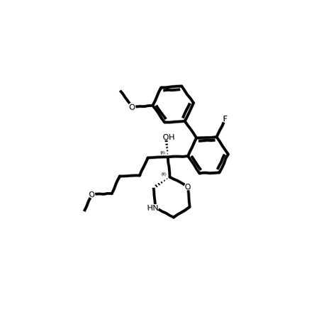 COCCCC[C@@](O)(c1cccc(F)c1-c1cccc(OC)c1)[C@H]1CNCCO1